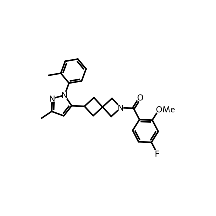 COc1cc(F)ccc1C(=O)N1CC2(CC(c3cc(C)nn3-c3ccccc3C)C2)C1